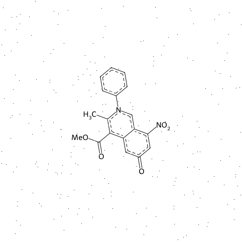 COC(=O)c1c2cc(=O)cc([N+](=O)[O-])c-2cn(-c2ccccc2)c1C